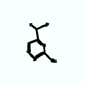 CC(C)(C)c1n[c]cc(C(F)F)n1